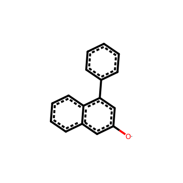 [O]c1cc(-c2ccccc2)c2ccccc2c1